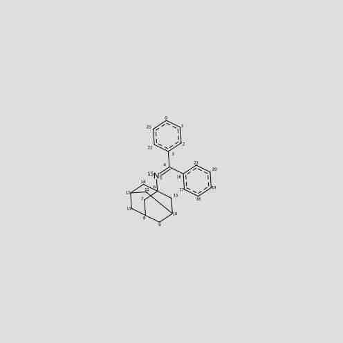 c1ccc(C(=[15N]C23CC4CC(CC(C4)C2)C3)c2ccccc2)cc1